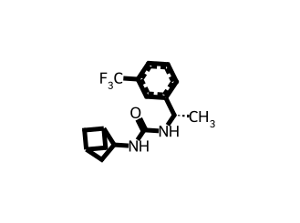 C[C@H](NC(=O)NC1CC2CC1C2)c1cccc(C(F)(F)F)c1